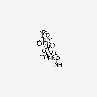 CC[C@H](C)[C@@H]([C@@H](CC(=O)N1CCC[C@H]1[C@H](OC)C(C)C(=O)N[C@@H](Cc1ccccc1)c1nccs1)OC)N(C)C(=O)[C@@H](NC(=O)C(C)(C)NC)C(C)C